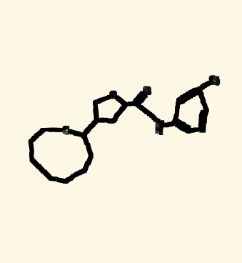 O=C(Nc1cccc(Cl)c1)C1CC(C2CCCCCCCC2)CO1